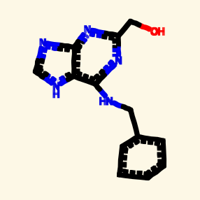 OCc1nc(NCc2ccccc2)c2[nH]cnc2n1